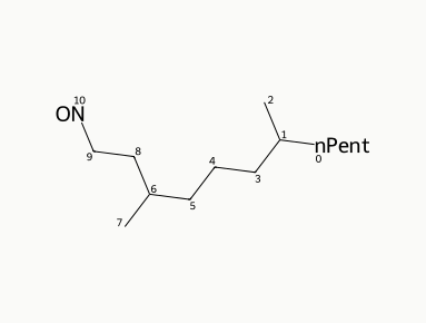 CCCCCC(C)CCCC(C)CCN=O